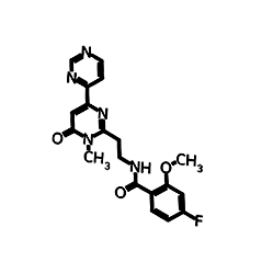 COc1cc(F)ccc1C(=O)NCCc1nc(-c2ccncn2)cc(=O)n1C